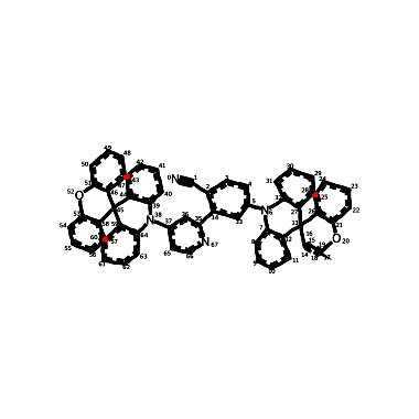 N#Cc1ccc(N2c3ccccc3C3(c4ccccc4Oc4ccccc43)c3ccccc32)cc1-c1cc(N2c3ccccc3C3(c4ccccc4Oc4ccccc43)c3ccccc32)ccn1